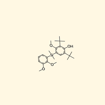 COc1cccc([Si](C)(C)c2cc(C(C)(C)C)c(O)c(C(C)(C)C)c2OC)c1OC